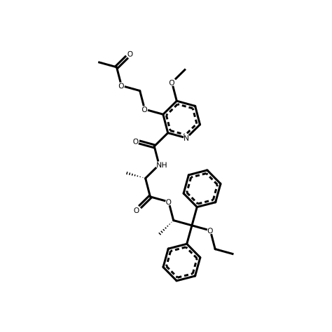 CCOC(c1ccccc1)(c1ccccc1)[C@H](C)OC(=O)[C@H](C)NC(=O)c1nccc(OC)c1OCOC(C)=O